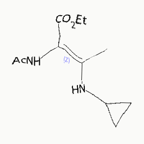 CCOC(=O)/C(NC(C)=O)=C(\C)NC1CC1